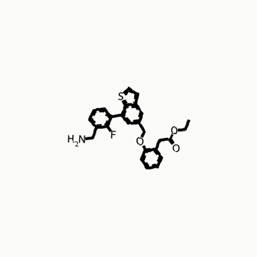 CCOC(=O)Cc1ccccc1OCc1cc(-c2cccc(CN)c2F)c2sccc2c1